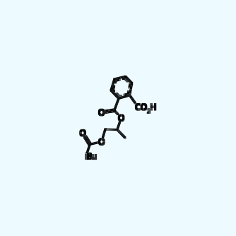 CCC(C)C(=O)OCC(C)OC(=O)c1ccccc1C(=O)O